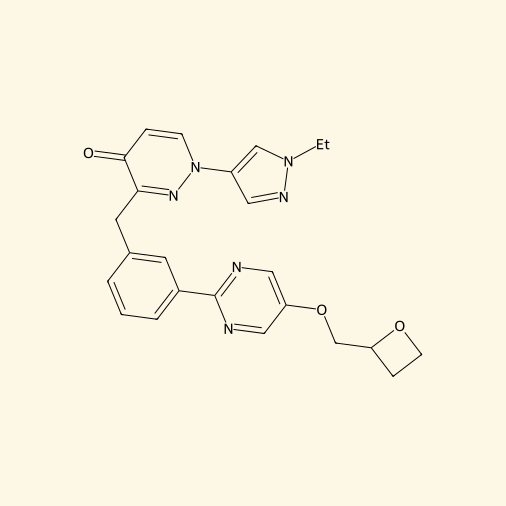 CCn1cc(-n2ccc(=O)c(Cc3cccc(-c4ncc(OCC5CCO5)cn4)c3)n2)cn1